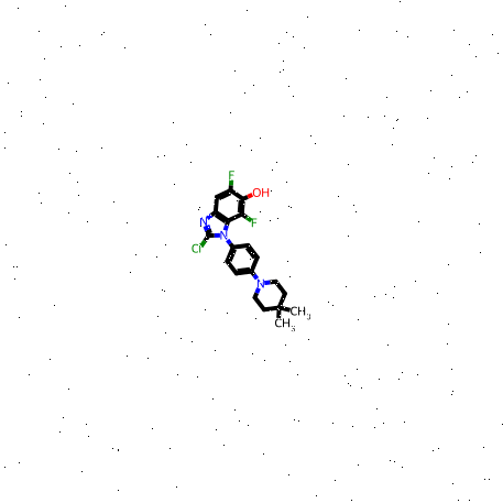 CC1(C)CCN(c2ccc(-n3c(Cl)nc4cc(F)c(O)c(F)c43)cc2)CC1